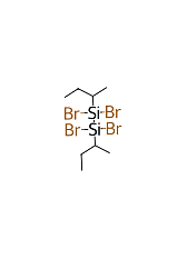 CCC(C)[Si](Br)(Br)[Si](Br)(Br)C(C)CC